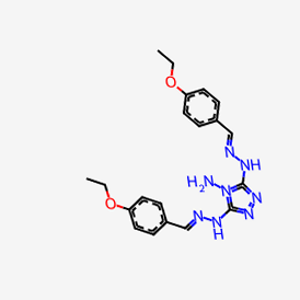 CCOc1ccc(/C=N/Nc2nnc(N/N=C/c3ccc(OCC)cc3)n2N)cc1